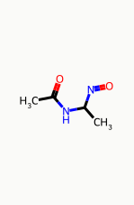 CC(=O)NC(C)N=O